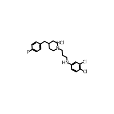 Cl.Fc1ccc(CC2CCN(CCCNc3ccc(Cl)c(Cl)c3)CC2)cc1